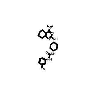 CN(C)c1nc(N[C@H]2CC[C@@H](NC(=O)Nc3cccc(C#N)c3)CC2)nc2c1CCCC2